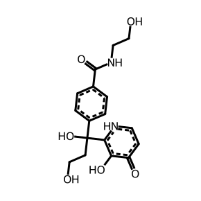 O=C(NCCO)c1ccc(C(O)(CCO)c2[nH]ccc(=O)c2O)cc1